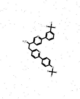 CC(Cc1ccc(-c2ccc(OC(F)(F)F)cc2)nc1)c1ccc(-c2cccc(C(F)(F)F)c2)nc1